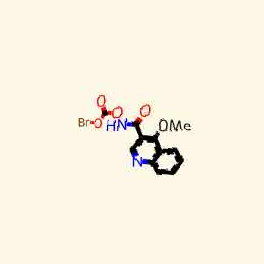 COc1c(C(=O)NOC(=O)OBr)cnc2ccccc12